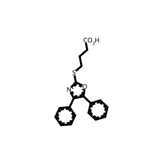 O=C(O)CCCSc1nc(-c2ccccc2)c(-c2ccccc2)o1